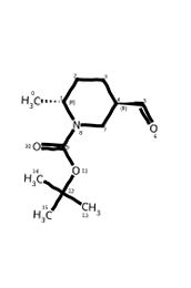 C[C@@H]1CC[C@@H](C=O)CN1C(=O)OC(C)(C)C